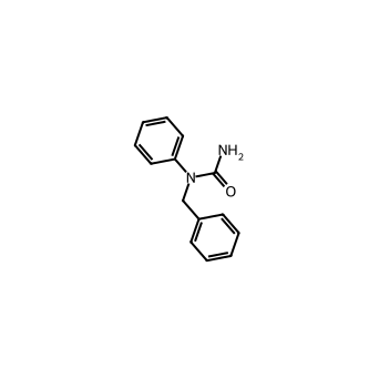 NC(=O)N(Cc1ccccc1)c1ccccc1